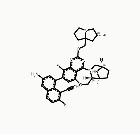 C#Cc1c(F)ccc2cc(N)cc(-c3cc4c5c(nc(OCC67CCCN6C[C@H](F)C7)nc5c3F)N3C[C@H]5CC[C@H](N5)[C@@H]3CO4)c12